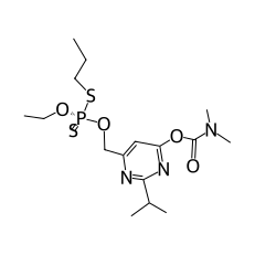 CCCS[P@@](=S)(OCC)OCc1cc(OC(=O)N(C)C)nc(C(C)C)n1